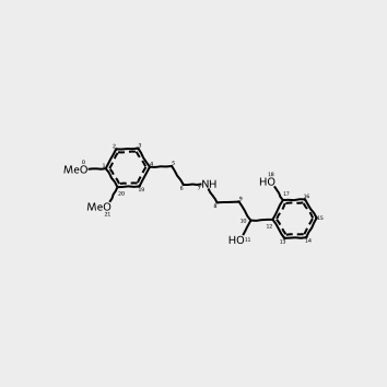 COc1ccc(CCNCCC(O)c2ccccc2O)cc1OC